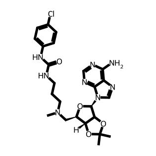 CN(CCCNC(=O)Nc1ccc(Cl)cc1)C[C@H]1O[C@@H](n2cnc3c(N)ncnc32)C2OC(C)(C)O[C@@H]21